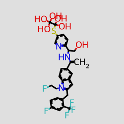 C=C(NC(CO)c1ccc(SC(O)(O)C(O)(O)O)cn1)c1ccc2c(c1)cc(Cc1ccc(F)cc1C(F)(F)F)n2CCF